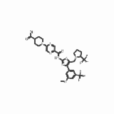 COc1cc(-c2nc(NC(=O)c3cnc(N4CCC(C(=O)O)CC4)cn3)sc2CN2CCCC2C(F)(F)F)cc(C(F)(F)F)c1